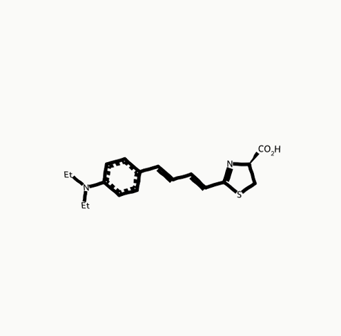 CCN(CC)c1ccc(/C=C/C=C/C2=N[C@@H](C(=O)O)CS2)cc1